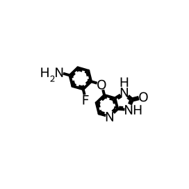 Nc1ccc(Oc2ccnc3[nH]c(=O)[nH]c23)c(F)c1